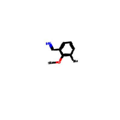 CC(C)(C)Oc1c(C=N)cccc1C(C)(C)C